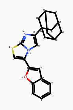 c1ccc2oc(-c3csc4nc(C56CC7CC(CC(C7)C5)C6)cn34)cc2c1